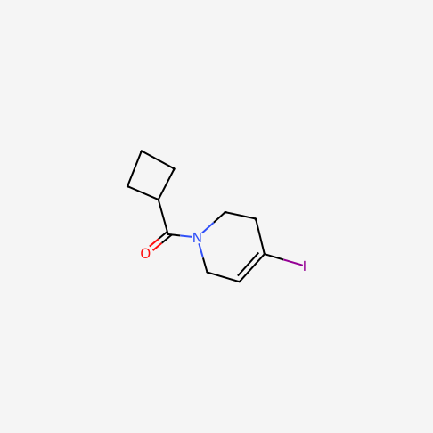 O=C(C1CCC1)N1CC=C(I)CC1